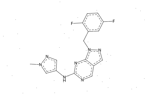 Cn1cc(Nc2ncc3cnn(Cc4cc(F)ccc4F)c3n2)cn1